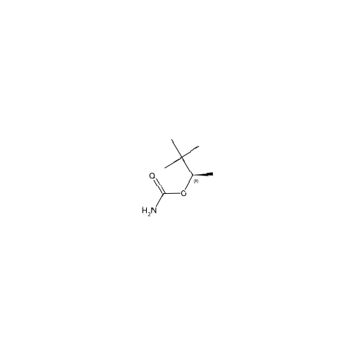 C[C@@H](OC(N)=O)C(C)(C)C